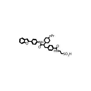 CCCC1CCC(C(Cc2ccc(C(=O)NCCS(=O)(=O)O)cc2)C(=O)Nc2ccc(-c3cc4ccccc4o3)cc2)CC1